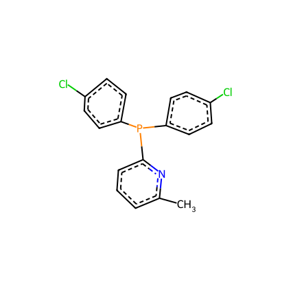 Cc1cccc(P(c2ccc(Cl)cc2)c2ccc(Cl)cc2)n1